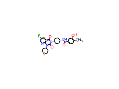 Cc1ccc(C(=O)N[C@H]2CC[C@@H](n3c(=O)c4cc(F)cnc4n(C4CCSCC4)c3=O)CC2)cc1O